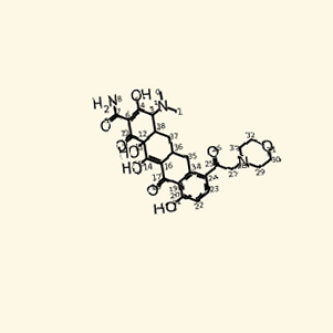 CN(C)C1C(O)=C(C(N)=O)C(=O)C2(O)C(O)=C3C(=O)c4c(O)ccc(C(=O)CN5CCOCC5)c4CC3CC12